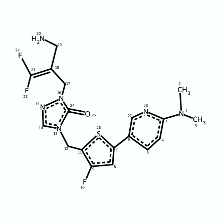 CN(C)c1ccc(-c2cc(F)c(Cn3cnn(CC(CN)=C(F)F)c3=O)s2)cn1